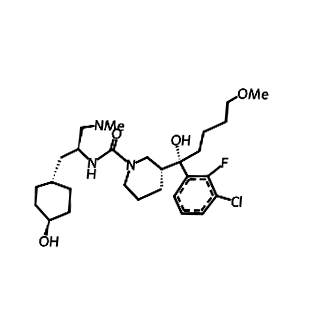 CNC[C@H](C[C@H]1CC[C@H](O)CC1)NC(=O)N1CCC[C@@H]([C@@](O)(CCCCOC)c2cccc(Cl)c2F)C1